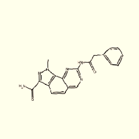 Cn1nc(C(N)=O)c2ccc3cnc(NC(=O)Cc4ccccc4)nc3c21